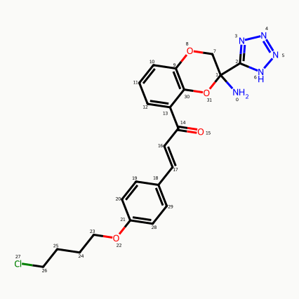 NC1(c2nnn[nH]2)COc2cccc(C(=O)C=Cc3ccc(OCCCCCl)cc3)c2O1